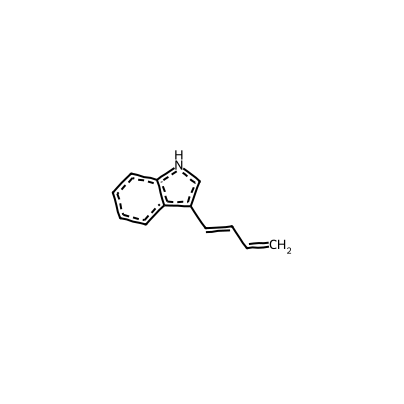 C=CC=Cc1c[nH]c2ccccc12